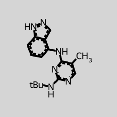 Cc1cnc(NC(C)(C)C)nc1Nc1cccc2[nH]ncc12